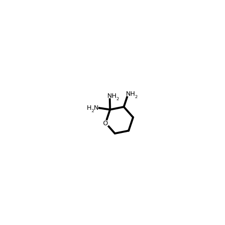 NC1CCCOC1(N)N